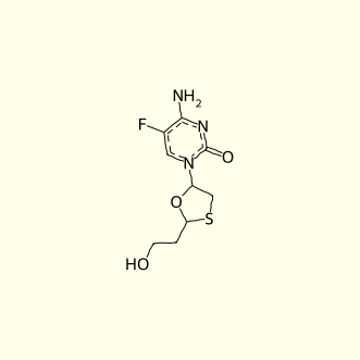 Nc1nc(=O)n(C2CSC(CCO)O2)cc1F